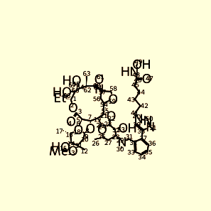 CC[C@H]1OC(=O)[C@H](C)[C@@H](O[C@H]2C[C@@](C)(OC)[C@@H](O)[C@H](C)O2)[C@H](C)[C@@H](O[C@@H]2O[C@H](C)C[C@H](N(C)Cc3ccccc3-c3cn(CCCCCC(=O)NO)nn3)[C@H]2O)[C@@]2(C)C[C@@H](CO2)C(=O)[C@H](C)[C@@H](O)[C@]1(C)O